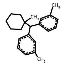 Cc1cccc(C(c2cccc(C)c2)C2(C)CCCCC2)c1